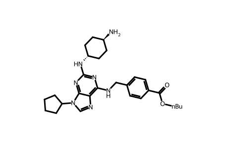 CCCCOC(=O)c1ccc(CNc2nc(N[C@H]3CC[C@H](N)CC3)nc3c2ncn3C2CCCC2)cc1